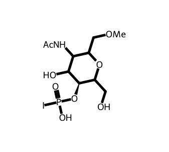 COCC1OC(CO)[C@@H](OP(=O)(O)I)C(O)C1NC(C)=O